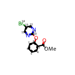 COC(=O)c1ccccc1Oc1ncc(Br)cn1